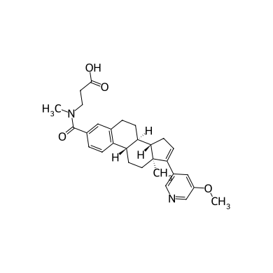 COc1cncc(C2=CC[C@H]3[C@@H]4CCc5cc(C(=O)N(C)CCC(=O)O)ccc5[C@H]4CC[C@]23C)c1